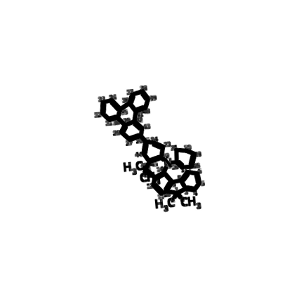 CC1(C)c2ccccc2-c2c1ccc1c2N(C2=CC=CCC2)c2ccc(-c3ccc4c5ccccc5c5ccccc5c4c3)cc2C1(C)C